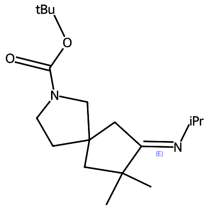 CC(C)/N=C1\CC2(CCN(C(=O)OC(C)(C)C)C2)CC1(C)C